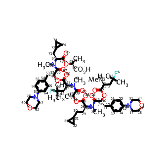 CN[C@@H](CC(C)(C)F)C(=O)O[C@H](Cc1ccc(N2CCOCC2)cc1)C(=O)N(C)[C@@H](CCC1CC1)C(=O)O[C@H](C)C(=O)N(C)[C@@H](CC(C)(C)F)C(=O)O[C@H](Cc1ccc(N2CCOCC2)cc1)C(=O)N(C)[C@@H](CC1CC1)C(=O)O[C@H](C)C(=O)O